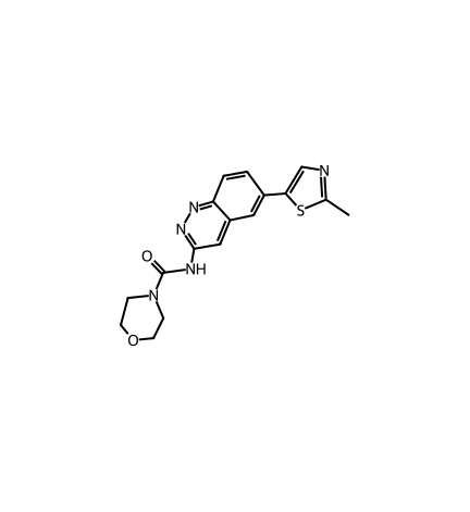 Cc1ncc(-c2ccc3nnc(NC(=O)N4CCOCC4)cc3c2)s1